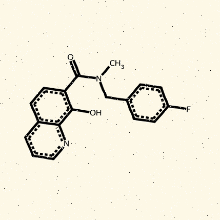 CN(Cc1ccc(F)cc1)C(=O)c1ccc2cccnc2c1O